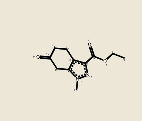 CCOC(=O)c1nn(C)c2c1CCC(=O)C2